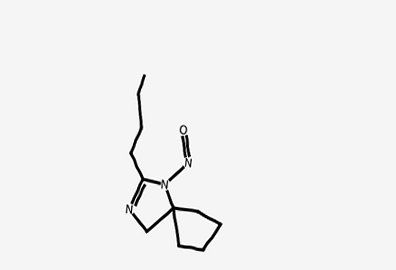 CCCCC1=NCC2(CCCC2)N1N=O